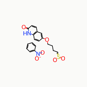 O=[N+]([O-])c1ccccc1.O=c1ccc2cc(OCCCC=S(=O)=O)ccc2[nH]1